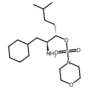 CC(C)CC[C@H](OS(=O)(=O)N1CCOCC1)[C@@H](N)CC1CCCCC1